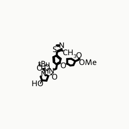 COC(=O)C1CCC(Oc2cc(-c3scnc3C)ccc2CNC(=O)[C@@H]2C[C@@H](O)CN2C(=O)OC(C)(C)C)CC1